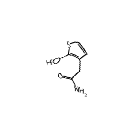 NC(=O)Cc1ccsc1O